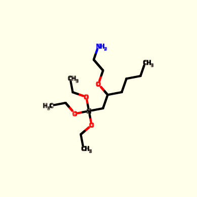 CCCCC(C[Si](OCC)(OCC)OCC)OCCN